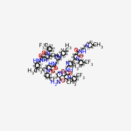 Cc1cc(C2N=CC=CC2C(N)=O)c(C(=O)NCc2ccccn2)c(=O)n1-c1cccc(C(F)(F)F)c1.Cc1ccc(-n2cc(CNC(=O)c3ccc(C)n(-c4cccc(C(F)(F)F)c4)c3=O)cn2)cc1.Cc1ccc(C(=O)NCCCN2CCC(C)CC2)c(=O)n1-c1cccc(C(F)(F)F)c1.Cc1ccc(NNC(=O)c2ccc(C)n(-c3cccc(C(F)(F)F)c3)c2=O)cc1